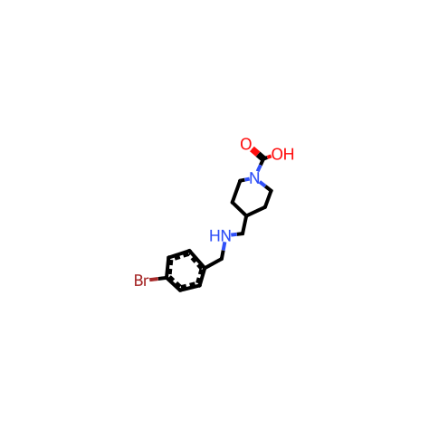 O=C(O)N1CCC(CNCc2ccc(Br)cc2)CC1